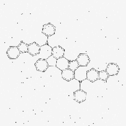 c1ccc(N(c2ccc3c(c2)oc2ccccc23)c2ccc3c4c2-c2ccccc2C4[n+]2ccc(N(c4ccccc4)c4ccc5c(c4)oc4ccccc45)c4c5ccccc5n-3c42)cc1